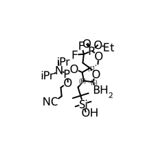 B[C@@H]1O[C@@]2(COP(=O)(OCC)C(F)(F)C2)C(OP(OCCC#N)N(C(C)C)C(C)C)[C@@H]1CC(C)(C)[Si](C)(C)O